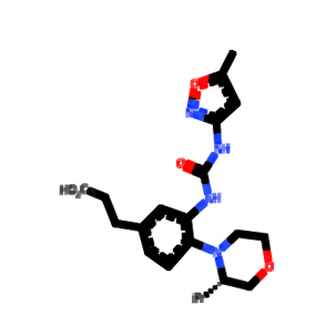 Cc1cc(NC(=O)Nc2cc(CCC(=O)O)ccc2N2CCOC[C@@H]2C(C)C)no1